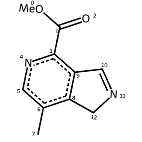 COC(=O)c1ncc(C)c2c1C=NC2